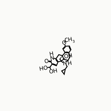 COc1ccc2c(c1)[C@]13CCN(CC4CC4)[C@H](C2)[C@]1(O)Cc1cc(C(O)O)c(=O)[nH]c1C3